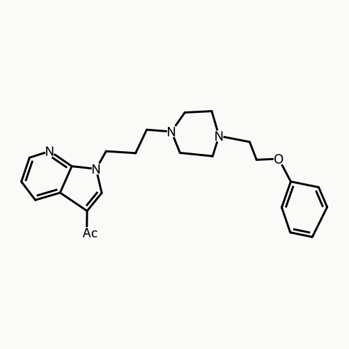 CC(=O)c1cn(CCCN2CCN(CCOc3ccccc3)CC2)c2ncccc12